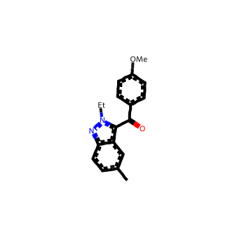 CCn1nc2ccc(C)cc2c1C(=O)c1ccc(OC)cc1